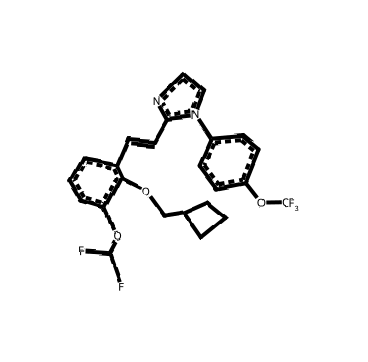 FC(F)Oc1cccc(C=Cc2nccn2-c2ccc(OC(F)(F)F)cc2)c1OCC1CCC1